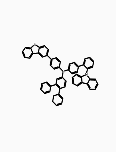 C1=CCCC(c2ccc(N(c3ccc(-c4ccc5sc6ccccc6c5c4)cc3)c3ccc(-c4ccccc4-n4c5ccccc5c5ccccc54)cc3)cc2-c2ccccc2)=C1